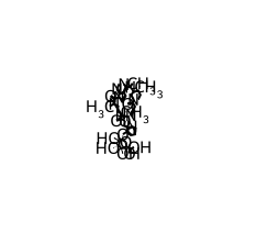 C[C@@H]1CCN(C(=O)CC#N)C[C@@H]1N(C)c1ncnc2c1ccn2C(=O)N(C)CCN(C)C(=O)OCc1ncccc1O[C@@H]1O[C@H](C(=O)O)[C@@H](O)[C@H](O)[C@H]1O